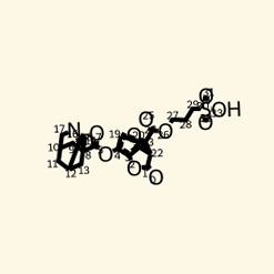 O=C1Oc2c(OC(=O)C34CC5CC(C3)C(=O)N(C5)C4)c3oc2c1c3C(=O)OCCCS(=O)(=O)O